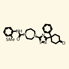 CSc1ccccc1NC(=O)N1CCCN(c2nc(C3(c4ccccc4)CCC(=O)CC3)ns2)CC1